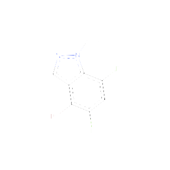 Cn1ncc2c(Br)c(F)cc(F)c21